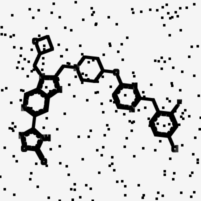 O=c1[nH]c(-c2cc3nc(CN4CCC(Oc5ccnc(Cc6ccc(Cl)cc6F)n5)CC4)n(CC4CCO4)c3cn2)no1